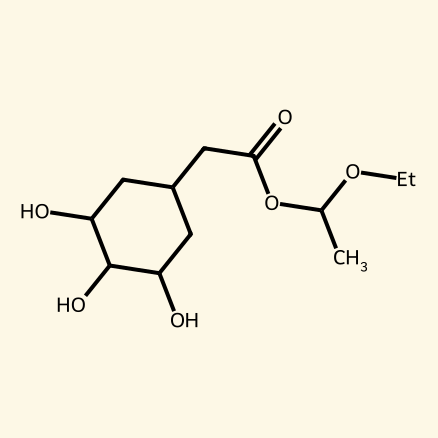 CCOC(C)OC(=O)CC1CC(O)C(O)C(O)C1